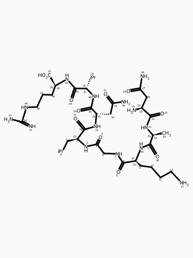 CC(C)C[C@H](NC(=O)CNC(=O)[C@H](CCCCN)NC(=O)[C@H](C)NC(=O)[C@@H](N)CC(N)=O)C(=O)N[C@@H](CC(N)=O)C(=O)N[C@H](C(=O)N[C@@H](CCCNC(=N)N)C(=O)O)C(C)C